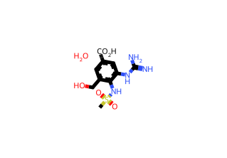 CS(=O)(=O)Nc1c(CO)cc(C(=O)O)cc1NC(=N)N.O